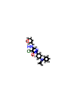 O=c1c(Cl)c(NC[C@@H]2CCCOC2)cnn1[C@H]1CC[C@H](N(c2ccccc2)C2CC2)CC1